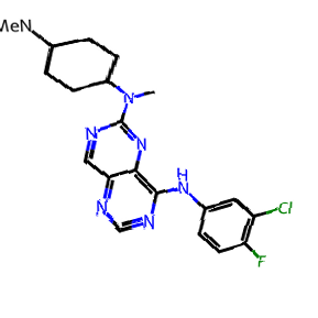 CNC1CCC(N(C)c2ncc3ncnc(Nc4ccc(F)c(Cl)c4)c3n2)CC1